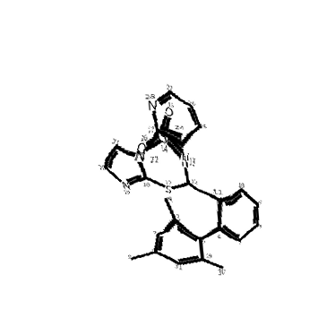 Cc1cc(C)c(-c2ccccc2C(N=S(=O)=O)Sc2nccn2-c2ccccn2)c(C)c1